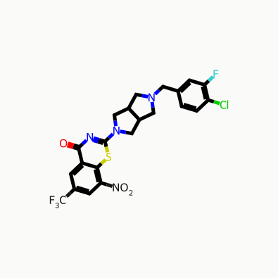 O=c1nc(N2CC3CN(Cc4ccc(Cl)c(F)c4)CC3C2)sc2c([N+](=O)[O-])cc(C(F)(F)F)cc12